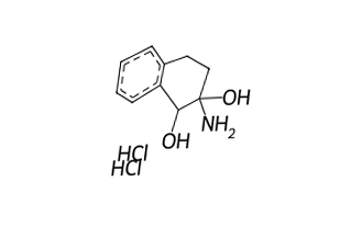 Cl.Cl.NC1(O)CCc2ccccc2C1O